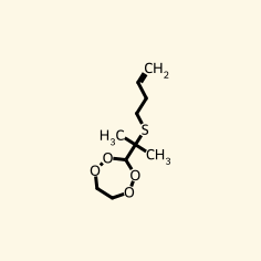 C=CCCSC(C)(C)C1OOCCOO1